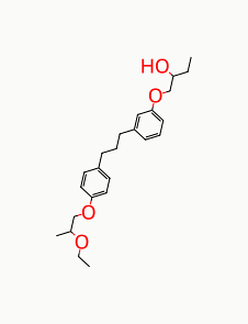 CCOC(C)COc1ccc(CCCc2cccc(OCC(O)CC)c2)cc1